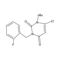 CCCCn1c(Cl)cc(=O)n(Cc2ccccc2F)c1=O